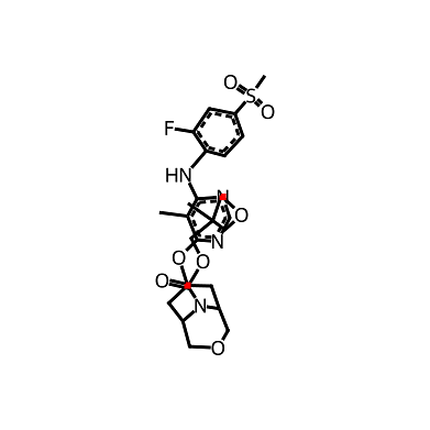 Cc1c(Nc2ccc(S(C)(=O)=O)cc2F)ncnc1OC1CC2COCC(C1)N2C(=O)OCC1(C)COC1